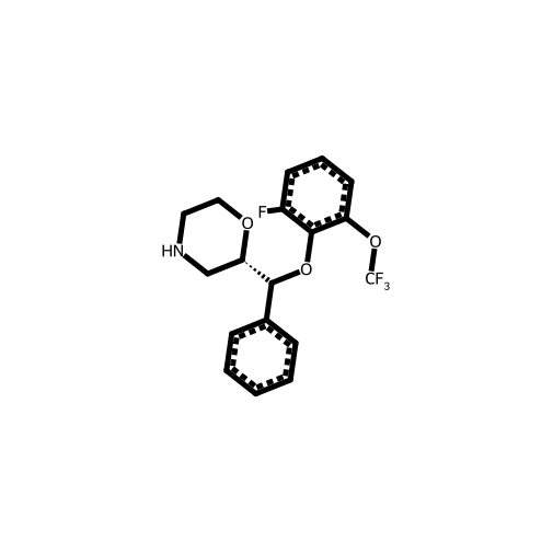 Fc1cccc(OC(F)(F)F)c1OC(c1ccccc1)[C@@H]1CNCCO1